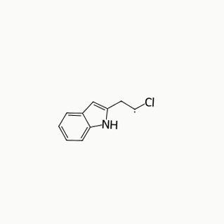 Cl[CH]Cc1cc2ccccc2[nH]1